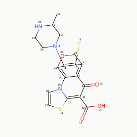 CC1CN(c2c(F)c3c4c(=O)c(C(=O)O)c5sccn5c4c2OC3)CCN1